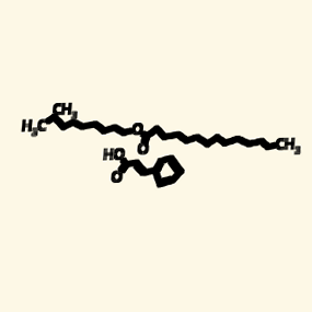 CCCCCCCCCCCCCC(=O)OCCCCCCCC(C)C.O=C(O)C=Cc1ccccc1